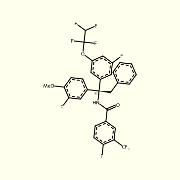 COc1ccc([C@@](Cc2ccccc2)(NC(=O)c2ccc(F)c(C(F)(F)F)c2)c2cc(F)cc(OC(F)(F)C(F)F)c2)cc1F